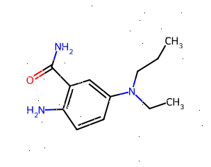 CCCN(CC)c1ccc(N)c(C(N)=O)c1